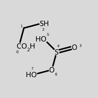 O=C(O)CS.O=S(O)OO